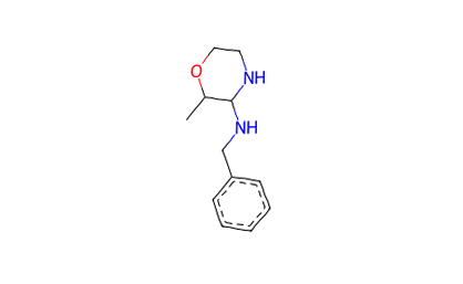 CC1OCCNC1NCc1ccccc1